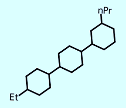 CCCC1CCCC(C2CCC(C3CCC(CC)CC3)CC2)C1